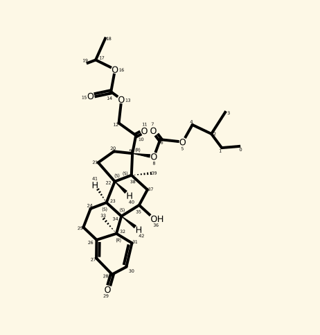 CCC(C)COC(=O)O[C@]1(C(=O)COC(=O)OC(C)C)CC[C@H]2[C@@H]3CCC4=CC(=O)C=C[C@]4(C)[C@H]3C(O)C[C@@]21C